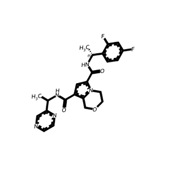 CC(NC(=O)c1cc(C(=O)N[C@H](C)c2ccc(F)cc2F)n2c1COCC2)c1cnccn1